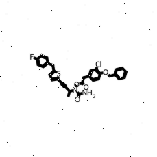 CC(C#Cc1ccc(Cc2ccc(F)cc2)s1)N(OC(=O)Cc1ccc(OCc2ccccc2)c(Cl)c1)C(N)=O